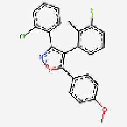 COc1ccc(-c2onc(-c3ccccc3Cl)c2-c2cccc(F)c2C)cc1